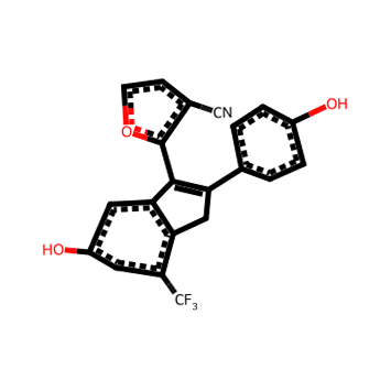 N#Cc1ccoc1C1=C(c2ccc(O)cc2)Cc2c1cc(O)cc2C(F)(F)F